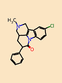 CN1Cc2c3n(c4ccc(Cl)cc24)C(=O)C(c2ccccc2)CC3C1